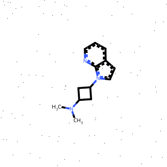 CN(C)C1CC(n2ccc3cccnc32)C1